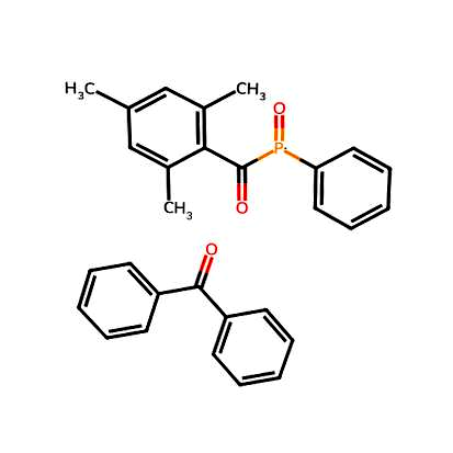 Cc1cc(C)c(C(=O)[P](=O)c2ccccc2)c(C)c1.O=C(c1ccccc1)c1ccccc1